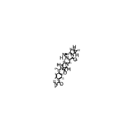 C[C@H](c1ccc(C(=O)N(C)C)cc1)N1C(=O)[C@@H]2C[C@H]1CN2C[C@H](N)C(=O)N1[C@H](C#N)C[C@@H]2C[C@@H]21